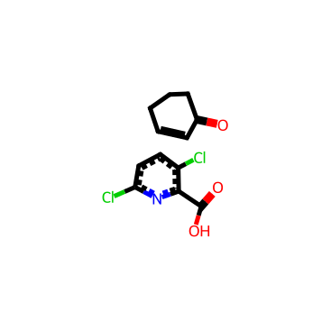 O=C(O)c1nc(Cl)ccc1Cl.O=C1C=CCCC1